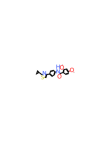 COc1ccc(C(=O)Nc2ccc(-c3csc(C4CC4)n3)cc2)c(OC)c1